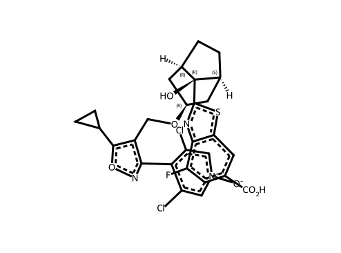 O=C(O)c1cc(F)c2nc([C@]3(O)[C@@H]4CC[C@H]3C[C@@H](OCc3c(-c5c(Cl)c[n+]([O-])cc5Cl)noc3C3CC3)C4)sc2c1